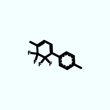 CC1=CC=C(c2ccc(C)cc2)C(F)(F)C1(F)F